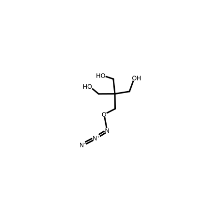 [N-]=[N+]=NOCC(CO)(CO)CO